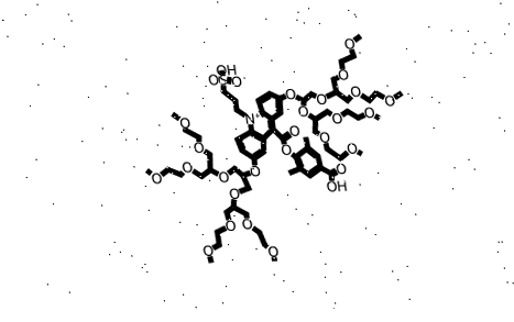 COCCOCC(COCCOC)OCC(COC(COCCOC)COCCOC)Oc1ccc2c(c1)c(C(=O)Oc1c(C)cc(C(=O)O)cc1C)c1cc(OC(COC(COCCOC)COCCOC)OC(COCCOC)COCCOC)ccc1[n+]2CCCS(=O)(=O)O